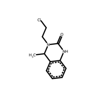 CC1c2ccccc2NC(=O)N1CCCl